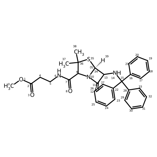 COC(=O)CCNC(=O)C1N2C(=O)C(NC(c3ccccc3)(c3ccccc3)c3ccccc3)[C@@H]2SC1(C)C